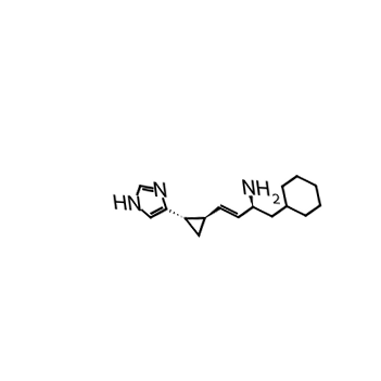 N[C@H](/C=C/[C@H]1C[C@@H]1c1c[nH]cn1)CC1CCCCC1